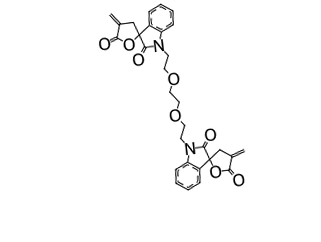 C=C1CC2(OC1=O)C(=O)N(CCOCCOCCN1C(=O)C3(CC(=C)C(=O)O3)c3ccccc31)c1ccccc12